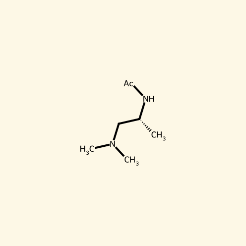 CC(=O)N[C@H](C)CN(C)C